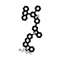 C[Si]1(C)c2ccccc2-c2c1ccc1cc3ccc(-n4c5ccccc5c5cc(-c6ccc7oc8c(-c9ccccc9)cc(-c9c%10ccccc%10cc%10ccccc9%10)cc8c7c6)ccc54)cc3cc21